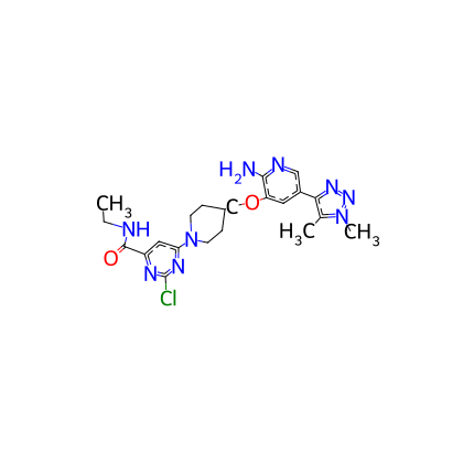 CCNC(=O)c1cc(N2CCC(COc3cc(-c4nnn(C)c4C)cnc3N)CC2)nc(Cl)n1